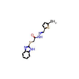 Bc1ccc(/C=N/NC(=O)CSc2nc3ccccc3[nH]2)s1